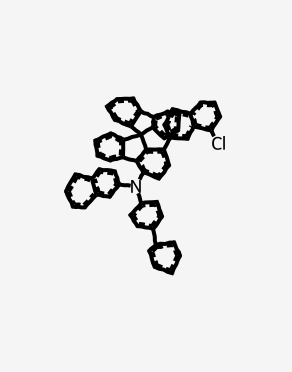 Clc1cccc2ccc(-c3ccc(N(c4ccc(-c5ccccc5)cc4)c4ccc5ccccc5c4)c4c3C3(c5ccccc5-c5ccccc53)c3ccccc3-4)cc12